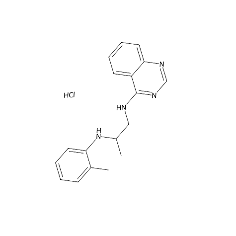 Cc1ccccc1NC(C)CNc1ncnc2ccccc12.Cl